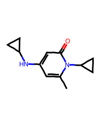 Cc1cc(NC2CC2)cc(=O)n1C1CC1